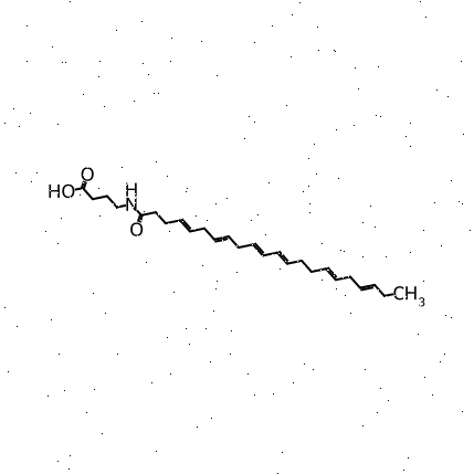 CCC=CCC=CCCC=CC=CCC=CCC=CCCC(=O)NCCCC(=O)O